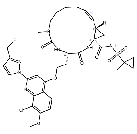 COc1ccc2c(OCC[C@@H]3NC(=O)N(C)CCCC/C=C\[C@@H]4C[C@@]4(C(=O)NS(=O)(=O)C4(C)CC4)NC3=O)cc(-n3ccc(CF)n3)nc2c1Cl